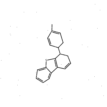 CC1=CCC(C2CC=Cc3c2sc2ccccc32)C=C1